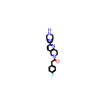 O=C(Cc1ccc(F)cc1)N1CCc2nc(N3C4CCC3CNC4)ccc2C1